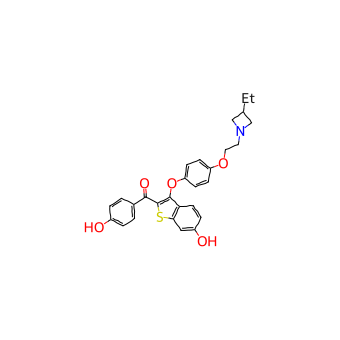 CCC1CN(CCOc2ccc(Oc3c(C(=O)c4ccc(O)cc4)sc4cc(O)ccc34)cc2)C1